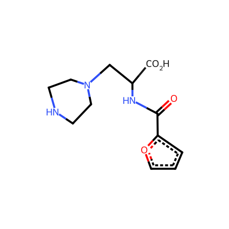 O=C(NC(CN1CCNCC1)C(=O)O)c1ccco1